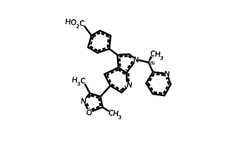 Cc1noc(C)c1-c1cnc2c(c1)c(-c1ccc(C(=O)O)cc1)cn2[C@@H](C)c1ccccn1